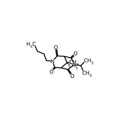 CCCCN1C(=O)C2C(=O)N(C(C)C)C(=O)C(C1=O)C2(C)C